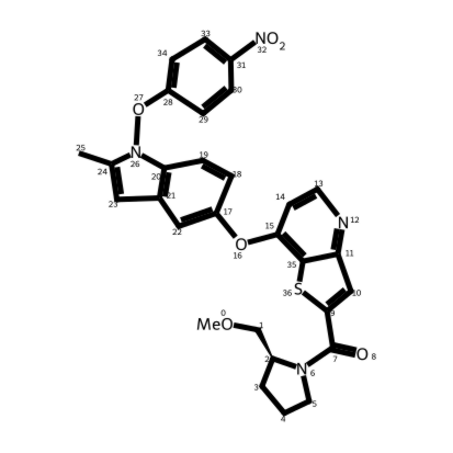 COC[C@@H]1CCCN1C(=O)c1cc2nccc(Oc3ccc4c(c3)cc(C)n4Oc3ccc([N+](=O)[O-])cc3)c2s1